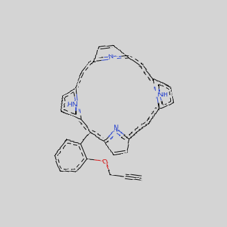 C#CCOc1ccccc1-c1c2nc(cc3ccc(cc4nc(cc5ccc1[nH]5)C=C4)[nH]3)C=C2